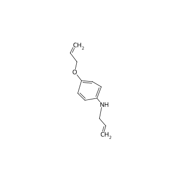 C=CCNc1ccc(OCC=C)cc1